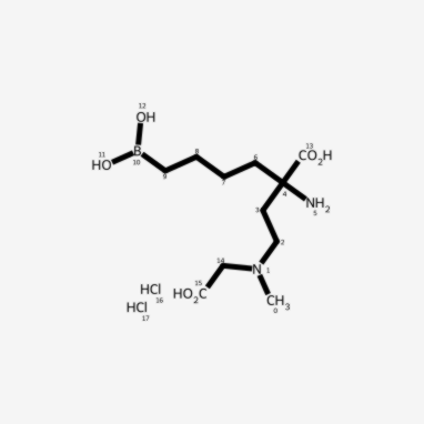 CN(CCC(N)(CCCCB(O)O)C(=O)O)CC(=O)O.Cl.Cl